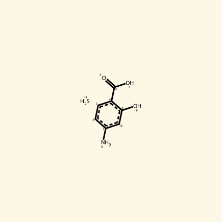 Nc1ccc(C(=O)O)c(O)c1.S